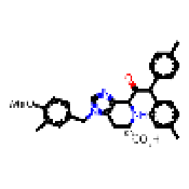 COc1ccc(Cn2cnc3c2C[C@@H](C(=O)O)NC3C(=O)C(c2ccc(C)cc2)c2ccc(C)cc2)cc1C